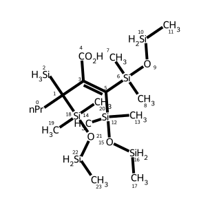 CCCC([SiH3])(C(C(=O)O)=C([Si](C)(C)O[SiH2]C)[Si](C)(C)O[SiH2]C)[Si](C)(C)O[SiH2]C